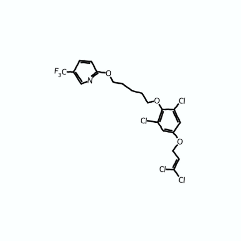 FC(F)(F)c1ccc(OCCCCCOc2c(Cl)cc(OCC=C(Cl)Cl)cc2Cl)nc1